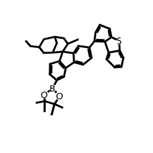 CCC1CC2CC(C)C3(c4ccc(B5OC(C)(C)C(C)(C)O5)cc4-c4ccc(-c5cccc6sc7ccccc7c56)cc43)C(C1)C2